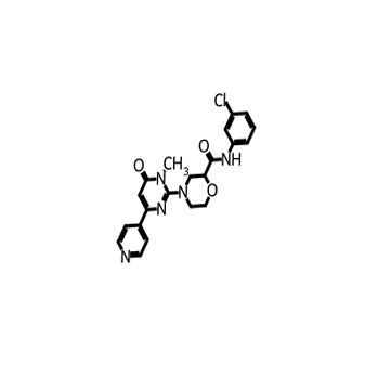 Cn1c(N2CCOC(C(=O)Nc3cccc(Cl)c3)C2)nc(-c2ccncc2)cc1=O